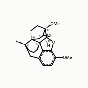 COc1ccc2c3c1O[C@H]1[C@@]4(OC)CC[C@@]5(C[C@@H]4C(C)=O)[C@H](CCC[C@]315)C2